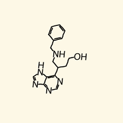 OCCC(CNCc1ccccc1)c1ncnc2nc[nH]c12